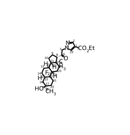 CCOC(=O)c1cnn(CC(=O)[C@H]2CC[C@H]3[C@@H]4CC[C@@H]5C[C@](C)(O)CC[C@]5(F)[C@H]4CC[C@]23C)c1